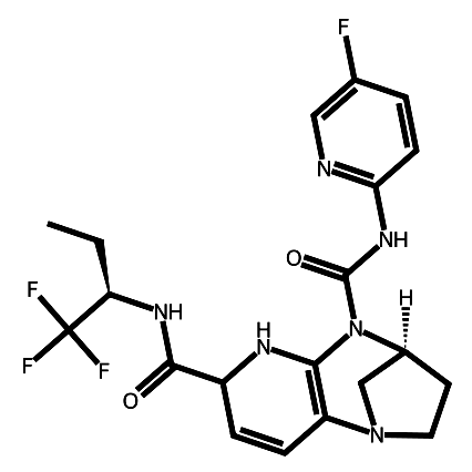 CC[C@@H](NC(=O)C1C=CC2=C(N1)N(C(=O)Nc1ccc(F)cn1)[C@H]1CCN2C1)C(F)(F)F